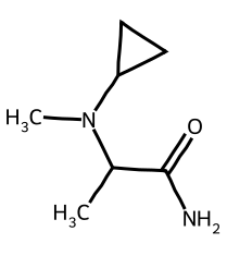 CC(C(N)=O)N(C)C1CC1